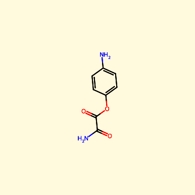 NC(=O)C(=O)Oc1ccc(N)cc1